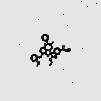 CCOC(=O)C1(c2ccc(NC=O)cc2)Sc2c(c(=O)ccn2Cc2ccccc2OC)C1CN(C)Cc1ccccc1